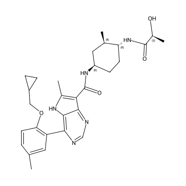 Cc1ccc(OCC2CC2)c(-c2ncnc3c(C(=O)N[C@@H]4CC[C@@H](NC(=O)[C@H](C)O)[C@H](C)C4)c(C)[nH]c23)c1